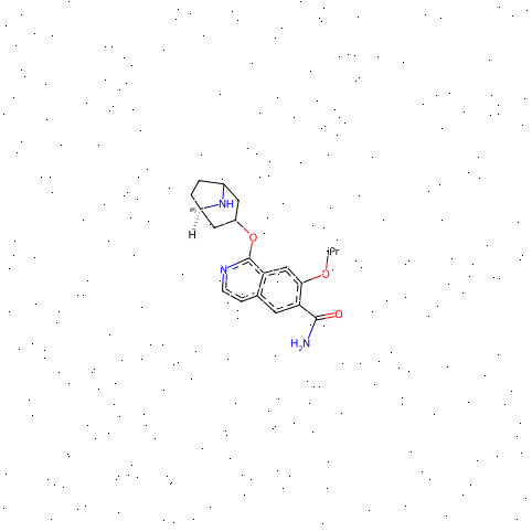 CC(C)Oc1cc2c(OC3CC4CC[C@H](C3)N4)nccc2cc1C(N)=O